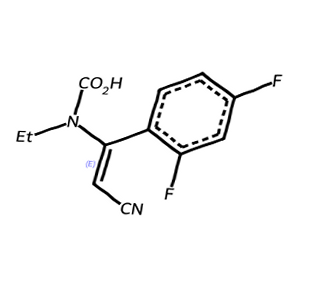 CCN(C(=O)O)/C(=C/C#N)c1ccc(F)cc1F